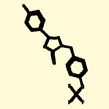 Cc1ccc(C2CN(Cc3ccc(OC(F)(F)F)cc3)C(=O)O2)cc1